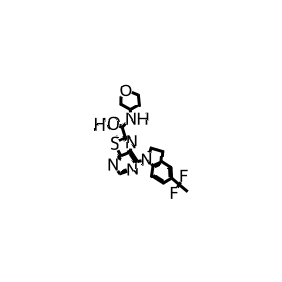 CC(F)(F)c1ccc2c(c1)CCN2c1ncnc2sc(C(O)NC3CCOCC3)nc12